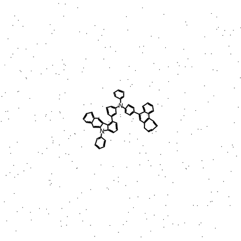 C1=CCc2cc(-c3ccc(N(c4ccccc4)c4cccc(-c5cccc6c5c5cc7ccccc7cc5n6-c5ccccc5)c4)cc3)c3ccccc3c2C=C1